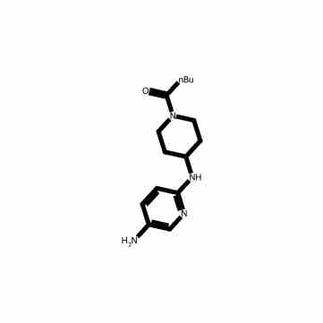 CCCCC(=O)N1CCC(Nc2ccc(N)cn2)CC1